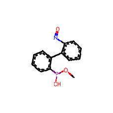 COP(O)c1ccccc1-c1ccccc1N=O